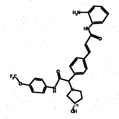 Nc1ccccc1NC(=O)C=Cc1ccc(C(C(=O)Nc2ccc(OC(F)(F)F)cc2)N2CC[C@H](O)C2)cc1